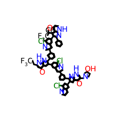 CC(c1c(-c2cc(Cl)c3ncc(-c4cccc(-c5nc6[nH]c(CCC(F)(F)F)cc(=O)c6cc5-c5cc(Cl)c6ncc(-c7cccc(-c8nc9[nH]cc(CN%10CCC(O)C%10)c(=O)c9cc8-c8cc(Cl)c9ncccc9c8)c7)cc6c5)c4)cc3c2)c(-c2ccccc2)nc2[nH]ccc(=O)c12)C(F)(F)F